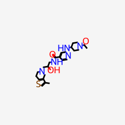 CC(=O)N1CCC(Nc2cc(C(=O)NCC(O)CN3CCc4scc(C)c4C3)ccn2)CC1